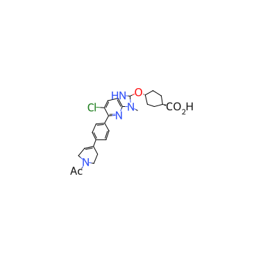 CC(=O)N1CC=C(c2ccc(-c3nc4c(cc3Cl)NC(O[C@H]3CC[C@H](C(=O)O)CC3)N4C)cc2)CC1